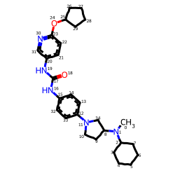 CN(C1CCCCC1)C1CCN(c2ccc(NC(=O)Nc3ccc(OC4CCCC4)nc3)cc2)C1